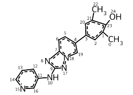 Cc1cc(-c2ccc3nc(Nc4cccnc4)nn3c2)cc(C)c1O